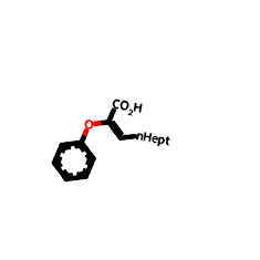 CCCCCCCC=C(Oc1ccccc1)C(=O)O